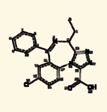 CCC1N=C(c2ccccc2)c2cc(Cl)ccc2-n2c(C(=O)O)nnc21